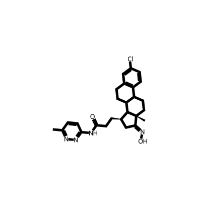 Cc1ccc(NC(=O)CC[C@@H]2C/C(=N\O)[C@@]3(C)CCC4c5ccc(Cl)cc5CCC4C23)nn1